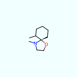 CC1CCCC[C@]12OCCN2C